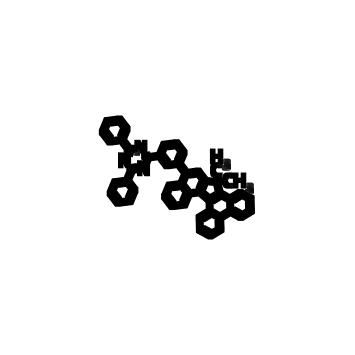 CC1(C)c2cc(-c3cccc(-c4nc(-c5ccccc5)nc(-c5ccccc5)n4)c3)c3ccccc3c2-c2c1c1ccccc1c1ccccc21